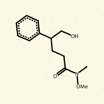 CON(C)C(=O)CCC(CO)c1ccccc1